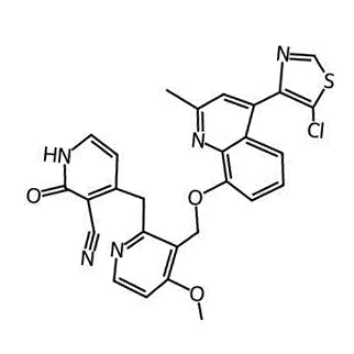 COc1ccnc(Cc2cc[nH]c(=O)c2C#N)c1COc1cccc2c(-c3ncsc3Cl)cc(C)nc12